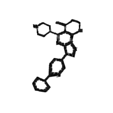 O=C1CCNc2c1c(C1CCNCC1)nc1c(-c3ccc(-c4ccccc4)nc3)cnn21